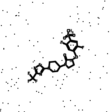 CS(=O)(=O)c1cc(F)c(O[C@H]2CCN(C3CCN(c4nc(C(F)(F)F)ns4)CC3)C2=O)cc1F